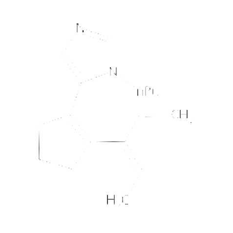 C=C/C(=C/C)C1=C(c2cncn2CCCC)CCC1